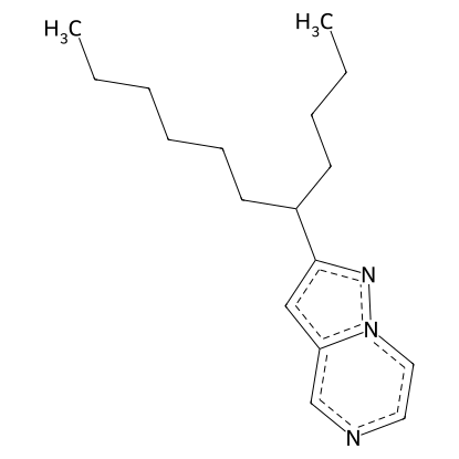 CCCCCCC(CCCC)c1cc2cnccn2n1